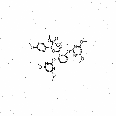 COc1ccc(C(OC(=O)c2c(Oc3nc(OC)cc(OC)n3)cccc2Oc2nc(OC)cc(OC)n2)P(=O)(OC)OC)cc1